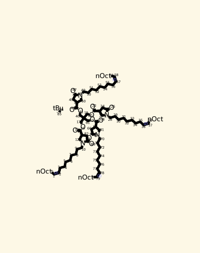 CCCCCCCC/C=C\CCCCCCCCN1CC(C(=O)OCC(COC(=O)C2CC(=O)N(CCCCCCCC/C=C\CCCCCCCC)C2)(COC(=O)C2CC(=O)N(CCCCCCCC/C=C\CCCCCCCC)C2)COC(=O)C2CC(=O)N(CCCCCCCC/C=C\CCCCCCCC)C2)CC1=O.[CH2]C([CH2])([CH2])[CH2]